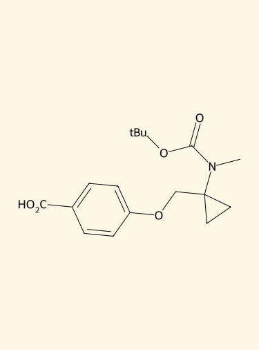 CN(C(=O)OC(C)(C)C)C1(COc2ccc(C(=O)O)cc2)CC1